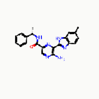 Cc1ccc2nc(-c3nc(C(=O)N[C@@H](C)c4ccccc4)cnc3N)[nH]c2c1